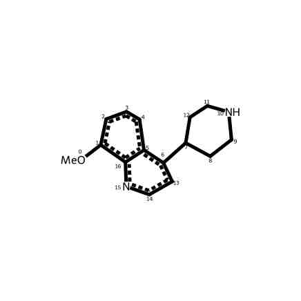 COc1cccc2c(C3CCNCC3)ccnc12